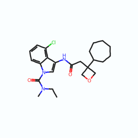 CCN(C)C(=O)n1cc(NC(=O)CC2(C3CCCCCC3)COC2)c2c(Cl)cccc21